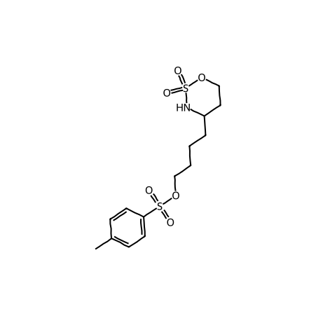 Cc1ccc(S(=O)(=O)OCCCCC2CCOS(=O)(=O)N2)cc1